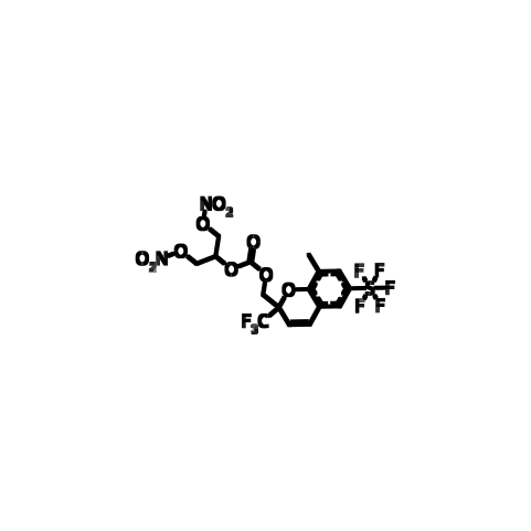 Cc1cc(S(F)(F)(F)(F)F)cc2c1OC(COC(=O)OC(CO[N+](=O)[O-])CO[N+](=O)[O-])(C(F)(F)F)C=C2